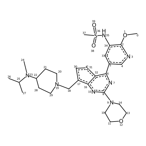 COc1ncc(-c2nc(N3CCOCC3)nc3c(CN4CCC(N(C)C(C)C)CC4)csc23)cc1NS(C)(=O)=O